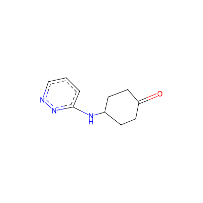 O=C1CCC(Nc2cccnn2)CC1